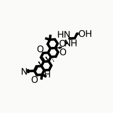 CC1(C)CC[C@]2(C(=O)ONC(=N)CCO)CC[C@]3(C)C(C(=O)C=C4[C@@]5(C)C=C(C#N)C(=O)C(C)(C)[C@@H]5CC[C@]43C)C2C1